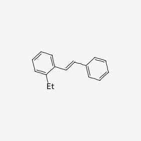 CCc1ccccc1C=Cc1ccccc1